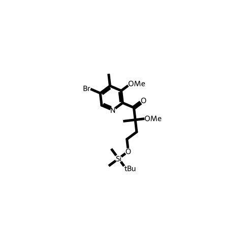 COc1c(C(=O)C(C)(CCO[Si](C)(C)C(C)(C)C)OC)ncc(Br)c1C